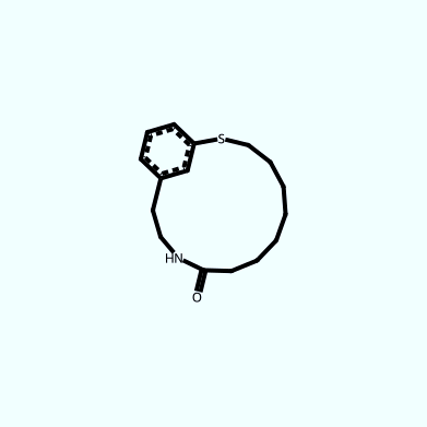 O=C1CCCCCCCSc2cccc(c2)CCN1